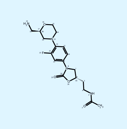 CC(=O)NCC[C@H]1CN(c2ccc(N3CCO[C@H](CN)C3)c(F)c2)C(=O)O1